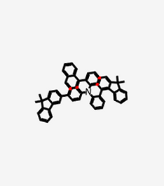 CC1(C)c2ccccc2-c2cc(-c3ccc(N(c4ccccc4-c4cccc5c4-c4ccccc4C5(C)C)c4ccccc4-c4cccc5ccccc45)cc3)ccc21